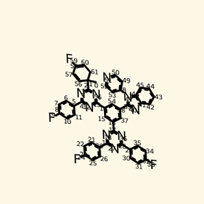 CC1(c2nc(-c3ccc(F)cc3)nc(-c3cc(-c4nc(-c5ccc(F)cc5)nc(-c5ccc(F)cc5)n4)cc(-c4nc5ccccc5n4-c4ccncc4)c3)n2)C=CC(F)=CC1